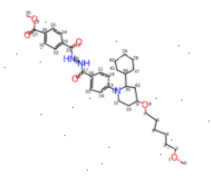 COCCCCCCOC1CCN(c2ccc(C(=O)NNC(=O)c3ccc(C(=O)OC)cc3)cc2)C(C2CCCCC2)C1